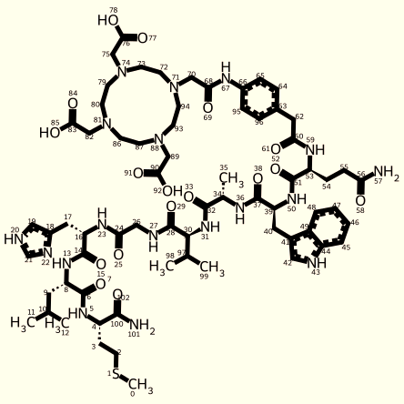 CSCC[C@H](NC(=O)[C@H](CC(C)C)NC(=O)[C@H](Cc1c[nH]cn1)NC(=O)CNC(=O)[C@@H](NC(=O)[C@H](C)NC(=O)[C@H](Cc1c[nH]c2ccccc12)NC(=O)[C@H](CCC(N)=O)NC(=O)Cc1ccc(NC(=O)CN2CCN(CC(=O)O)CCN(CC(=O)O)CCN(CC(=O)O)CC2)cc1)C(C)C)C(N)=O